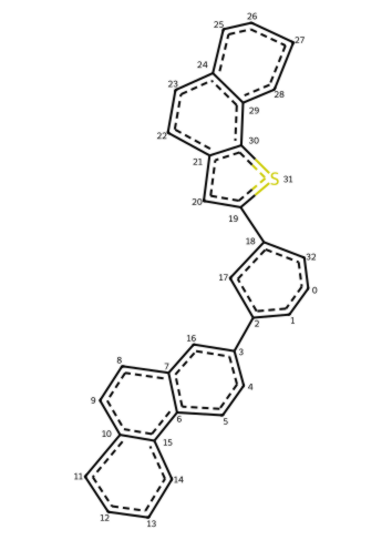 c1cc(-c2ccc3c(ccc4ccccc43)c2)cc(-c2cc3ccc4ccccc4c3s2)c1